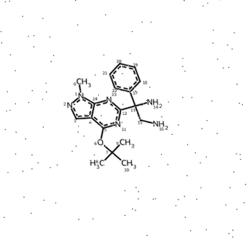 Cn1ncc2c(OC(C)(C)C)nc(C(N)(CN)c3ccccc3)nc21